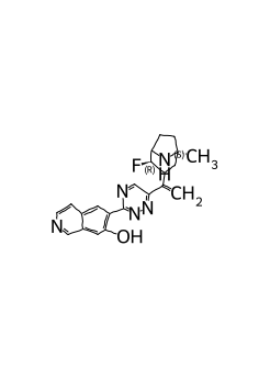 C=C(c1cnc(-c2cc3ccncc3cc2O)nn1)C1C[C@]2(C)CCC(N2)[C@@H]1F